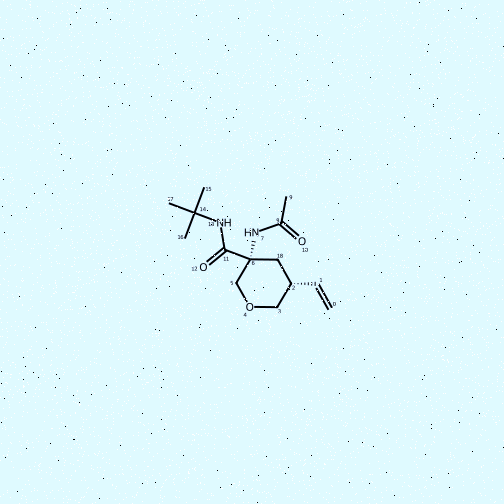 C=C[C@@H]1COC[C@@](NC(C)=O)(C(=O)NC(C)(C)C)C1